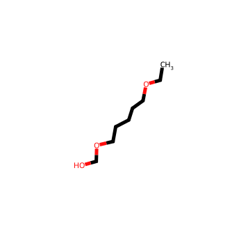 CCOCCCCCOCO